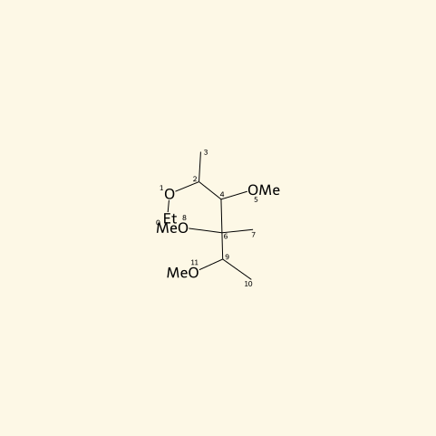 CCOC(C)C(OC)C(C)(OC)C(C)OC